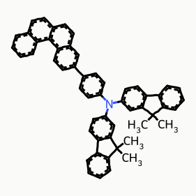 CC1(C)c2ccccc2-c2ccc(N(c3ccc(-c4ccc5c(ccc6ccc7ccccc7c65)c4)cc3)c3ccc4c(c3)C(C)(C)c3ccccc3-4)cc21